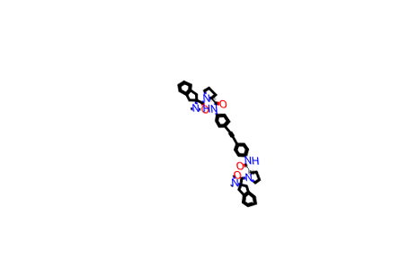 CN(C)C1(C(=O)N2CCC[C@H]2C(=O)Nc2ccc(C#Cc3ccc(NC(=O)[C@@H]4CCCN4C(=O)C4(N(C)C)Cc5ccccc5C4)cc3)cc2)Cc2ccccc2C1